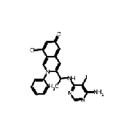 CC(Nc1ncnc(N)c1I)c1cc2cc(=O)cc(Cl)c-2cn1-c1ccccc1